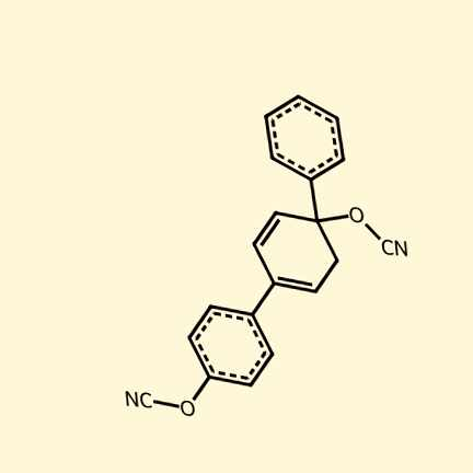 N#COc1ccc(C2=CCC(OC#N)(c3ccccc3)C=C2)cc1